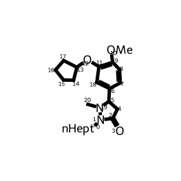 CCCCCCCN1C(=O)CC(c2ccc(OC)c(OC3CCCC3)c2)N1C